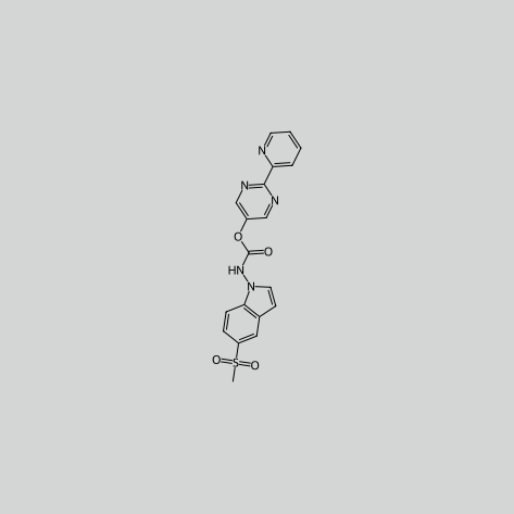 CS(=O)(=O)c1ccc2c(ccn2NC(=O)Oc2cnc(-c3ccccn3)nc2)c1